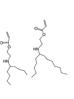 C=CC(=O)OCCNC(CCCC)CCCC.C=CC(=O)OCCNC(CCCCC)CCCCCCC